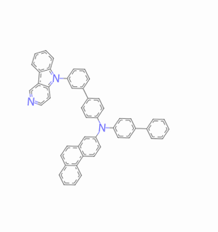 c1ccc(-c2ccc(N(c3ccc(-c4cccc(-n5c6ccccc6c6cnccc65)c4)cc3)c3ccc4c(ccc5ccccc54)c3)cc2)cc1